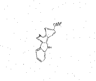 COc1ccc2c(ccc3c4ccccc4[nH]c23)c1